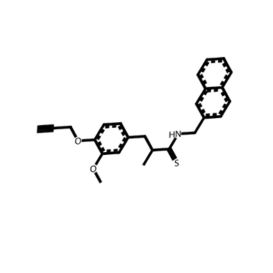 C#CCOc1ccc(CC(C)C(=S)NCc2ccc3ccccc3c2)cc1OC